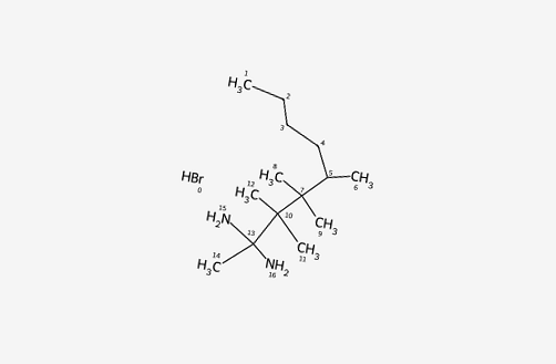 Br.CCCCC(C)C(C)(C)C(C)(C)C(C)(N)N